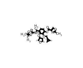 Cc1nc(C(=O)Oc2ccc([C@H](C)NC(=O)OC(C)(C)C)c(OC3CCOC3)c2OCC2CC2)co1